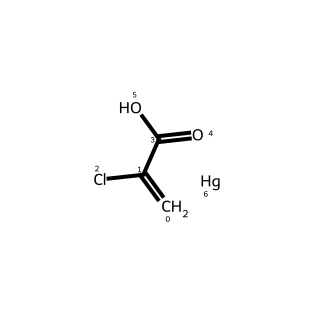 C=C(Cl)C(=O)O.[Hg]